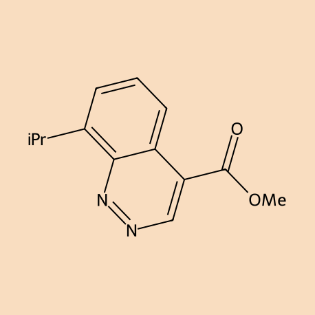 COC(=O)c1cnnc2c(C(C)C)cccc12